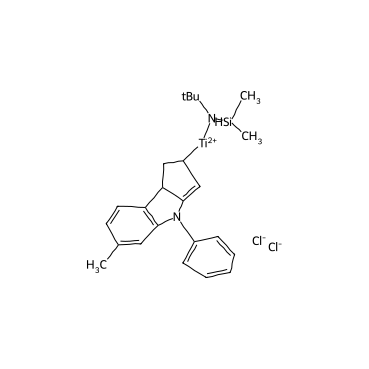 Cc1ccc2c(c1)N(c1ccccc1)C1=C[CH]([Ti+2][N]([SiH](C)C)C(C)(C)C)CC12.[Cl-].[Cl-]